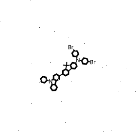 CC1(C)c2cc(-c3ccc4c(c3)c3ccccc3n4-c3ccccc3)ccc2-c2ccc(N(c3ccc(Br)cc3)c3ccc(Br)cc3)cc21